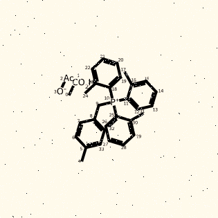 CC(=O)O.CC(=O)[O-].Cc1ccc(C[P+](c2ccccc2C)(c2ccccc2C)c2ccccc2C)cc1